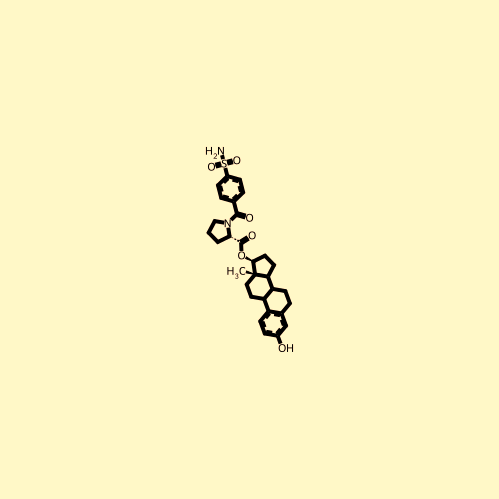 C[C@]12CCC3c4ccc(O)cc4CCC3C1CC[C@@H]2OC(=O)[C@@H]1CCCN1C(=O)c1ccc(S(N)(=O)=O)cc1